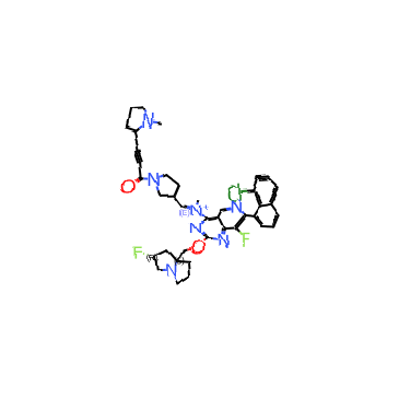 CN1CCCC1C#CC(=O)N1CCC(/C=[N+](\C)c2nc(OC[C@@]34CCCN3C[C@H](F)C4)nc3c(F)c(-c4cccc5cccc(Cl)c45)ncc23)C1